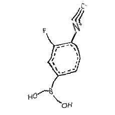 [C-]#[N+]c1ccc(B(O)O)cc1F